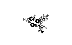 Cc1cnc(Nc2cccc(S(=O)(=O)NC(=O)C(C)C)c2)nc1Nc1cccc(CNC(=O)C(C)CS(=O)(=O)C2CC2)c1.[NaH]